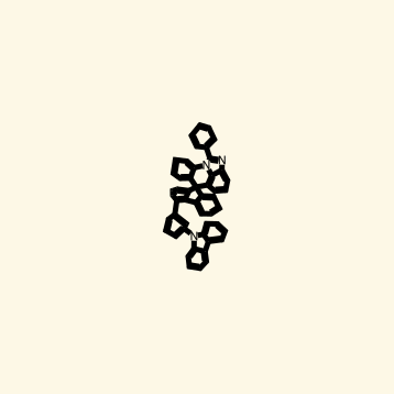 c1ccc(-c2nc3cccc4c3n2-c2ccccc2C42c3ccccc3-c3c(-c4cccc(-n5c6ccccc6c6ccccc65)c4)cccc32)cc1